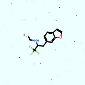 CCNC(Cc1ccc2ccoc2c1)C(F)(F)F